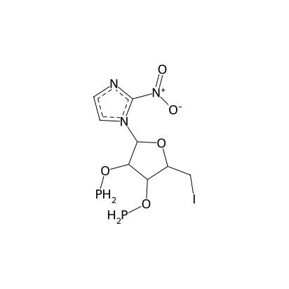 O=[N+]([O-])c1nccn1C1OC(CI)C(OP)C1OP